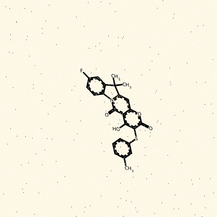 Cc1cccc(Sc2c(O)c3c(=O)n4c(cc3oc2=O)C(C)(C)c2cc(F)ccc2-4)c1